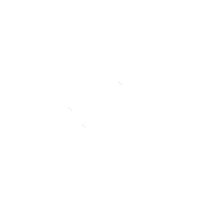 c1ccc(-c2ccc3sc4c(c3c2)c2ccccc2c2c3ccccc3n(-c3ccc(-c5nc(-c6ccccc6)cc(-c6ccccc6)n5)cc3)c42)cc1